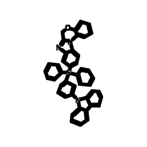 c1ccc([Si](c2ccccc2)(c2cccc(-n3c4ccccc4c4ccccc43)c2)c2ccc3c(c2)nc2n3-c3ccccc3OC2)cc1